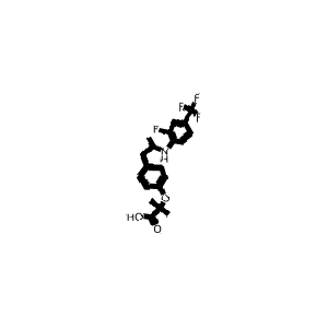 CC(Cc1ccc(OC(C)(C)C(=O)O)cc1)Nc1ccc(C(F)(F)F)cc1F